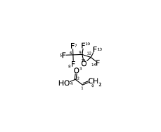 C=CC(=O)O.FC(F)(F)C1(F)OC1(F)F